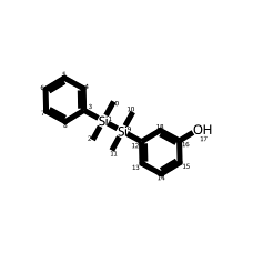 C[Si](C)(c1ccccc1)[Si](C)(C)c1cccc(O)c1